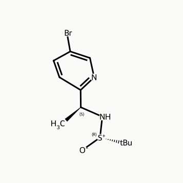 C[C@H](N[S@@+]([O-])C(C)(C)C)c1ccc(Br)cn1